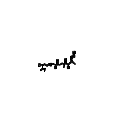 C=C(CCNC(=O)CO/C=C/C=C(/Cl)C(=C)F)NC(=O)C1C(C)N1OOCC